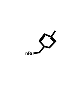 CCCCCC1C=CC(C)=CC1